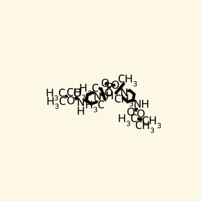 CCC(CC)(O[PH](=O)OC(CC)(CC)N1CCC(NC(=O)OC(C)(C)C)CC1)N1CCC(NC(=O)OC(C)(C)C)CC1